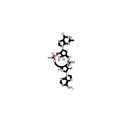 Cc1nc2c(ncn2[C@@H]2C[C@@H]3OP(=O)(S)[C@H]4[C@@H](F)[C@H](n5cnc6c(N)ncnc65)O[C@@H]4CCOP(=O)(S)O[C@@H]2[C@@H]3O)c(=O)[nH]1